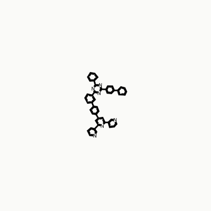 c1ccc(-c2ccc(-c3nc(-c4ccccc4)nc(-c4cccc(-c5ccc(-c6cc(-c7cccnc7)nc(-c7cccnc7)c6)cc5)c4)n3)cc2)cc1